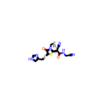 CCn1c(=O)c(=C=Cc2c[nH]cn2)s/c1=C(/C#N)C(=O)NCC#N